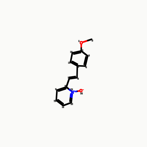 COc1ccc(/C=C/c2cccc[n+]2[O-])cc1